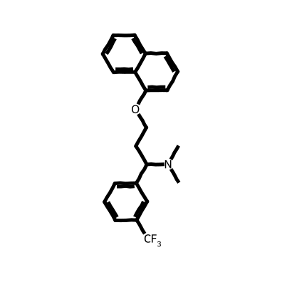 CN(C)C(CCOc1cccc2ccccc12)c1cccc(C(F)(F)F)c1